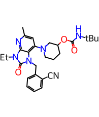 CCn1c(=O)n(Cc2ccccc2C#N)c2c(N3CCCC(OC(=O)NC(C)(C)C)C3)cc(C)nc21